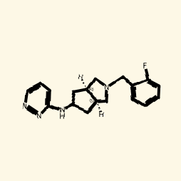 Fc1ccccc1CN1C[C@H]2CC(Nc3cccnn3)C[C@H]2C1